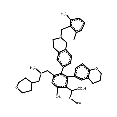 Cc1cccc(F)c1CN1CCc2cc(-c3c(CN(C)CC4CCOCC4)nc(C)c(C(OC(C)(C)C)C(=O)O)c3-c3ccc4c(c3)CCCO4)ccc2C1